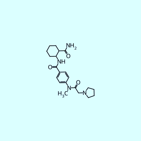 CN(C(=O)CN1CCCC1)c1ccc(C(=O)NC2CCCCC2C(N)=O)cc1